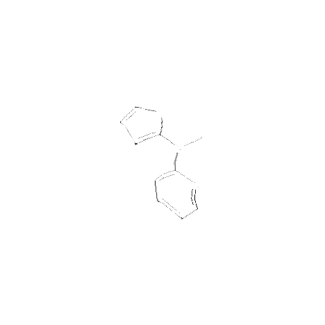 CN(c1ccccn1)c1ccco1